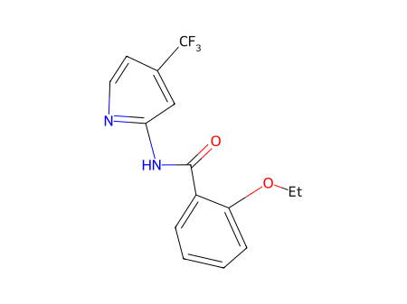 CCOc1ccccc1C(=O)Nc1cc(C(F)(F)F)ccn1